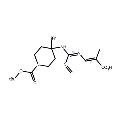 C=N/C(=N\C=C(/C)C(=O)O)NC1(C(C)C)CCN(C(=O)OC(C)(C)C)CC1